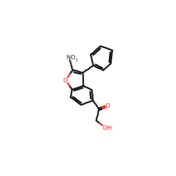 O=C(CO)c1ccc2oc([N+](=O)[O-])c(-c3ccccc3)c2c1